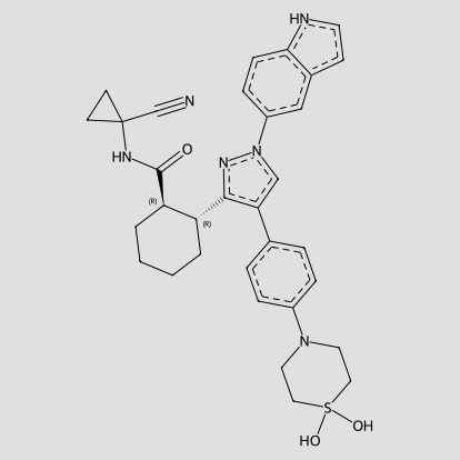 N#CC1(NC(=O)[C@@H]2CCCC[C@H]2c2nn(-c3ccc4[nH]ccc4c3)cc2-c2ccc(N3CCS(O)(O)CC3)cc2)CC1